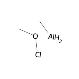 COCl.[CH3][AlH2]